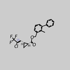 Cc1c(COC(=O)[C@@H]2C[C@@H]2/C=C(\Cl)C(F)(F)F)cccc1-c1ccccc1